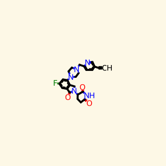 C#Cc1ccc(CN2CCN(c3cc(F)cc4c3CN(C3CCC(=O)NC3=O)C4=O)CC2)nc1